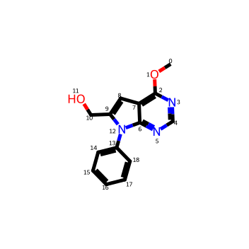 COc1ncnc2c1cc(CO)n2-c1ccccc1